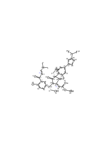 CN(C)/C=N/C(=O)c1cc([C@@H](CO)N2C(=O)[C@@](CC(C)(C)C)(c3ccc(-c4cnn(C(F)F)c4)cc3F)N/C2=N\C(=O)OC(C)(C)C)ccc1Cl